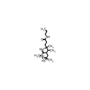 C=CCNC(=O)CCC(C)(C)C(C)C(CC(C)(C)S)C(=O)N(C)C